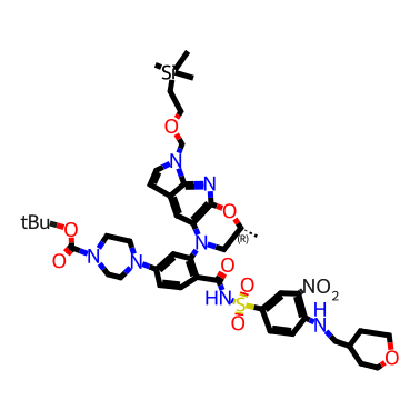 C[C@@H]1CN(c2cc(N3CCN(C(=O)OC(C)(C)C)CC3)ccc2C(=O)NS(=O)(=O)c2ccc(NCC3CCOCC3)c([N+](=O)[O-])c2)c2cc3ccn(COCC[Si](C)(C)C)c3nc2O1